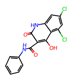 O=C(Nc1ccccc1)c1c(O)c2c(Cl)cc(Cl)cc2[nH]c1=O